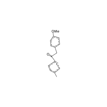 COc1ccc(CC(=O)c2ccc(C)cc2)cc1